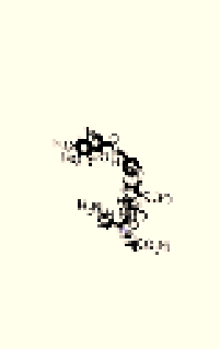 C[C@@H]1S[C@@H]2[C@H](NC(=O)/C(=N\OC(C)(C)C(=O)O)c3csc(N)n3)C(=O)N2C(C(=O)[O-])=C1C[N+]12CCC(CNC(=O)c3cn(C)c4cc(O)c(O)c(Cl)c4c3=O)(CC1)CC2